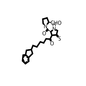 O=C[C@@H]1CCCN1C(=O)[C@H]1NCC(=S)C1C(=O)CCCCCC1Cc2ccccc2C1